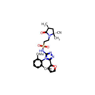 COc1cccc(OC)c1-n1c(NS(=O)(=O)CCN2C(=O)[C@@H](C)C[C@]2(C)C#N)nnc1-c1ccco1